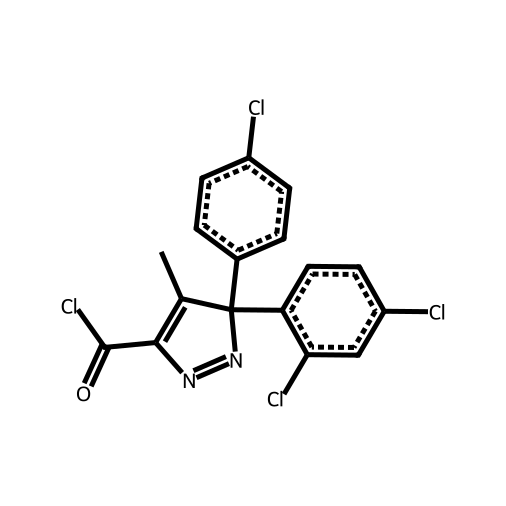 CC1=C(C(=O)Cl)N=NC1(c1ccc(Cl)cc1)c1ccc(Cl)cc1Cl